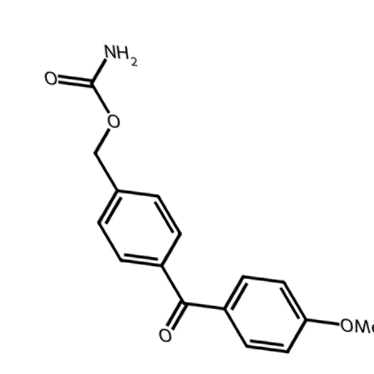 COc1ccc(C(=O)c2ccc(COC(N)=O)cc2)cc1